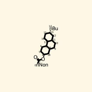 CCCCCCCCCC(=O)O[C@H]1CCC2C(CCC3C[C@@H](CCCC)CCC32)C1